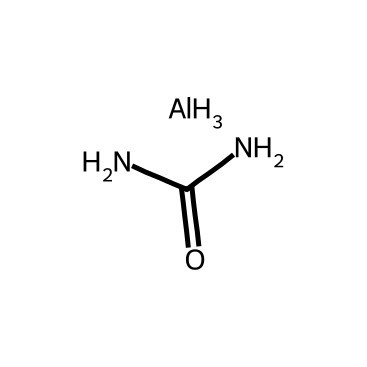 NC(N)=O.[AlH3]